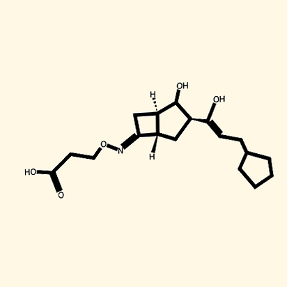 O=C(O)CCON=C1C[C@H]2C(O)[C@@H](C(O)=CCC3CCCC3)C[C@H]12